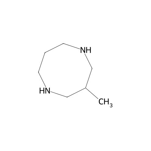 CC1CNCCCNC1